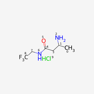 CC(N)CC(=O)NCC(F)(F)F.Cl